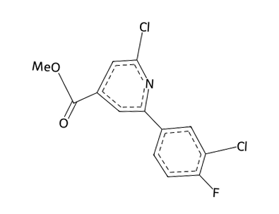 COC(=O)c1cc(Cl)nc(-c2ccc(F)c(Cl)c2)c1